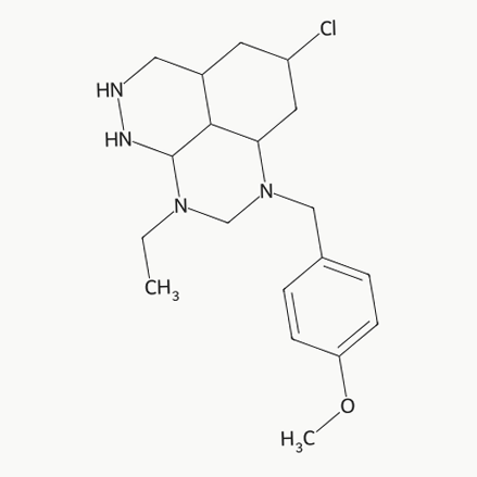 CCN1CN(Cc2ccc(OC)cc2)C2CC(Cl)CC3CNNC1C32